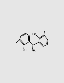 Cc1cccc(C(P)c2cccc(C)c2O)c1O